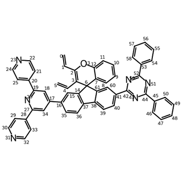 C=CC1=C(C=C)C2(c3ccccc3O1)c1cc(-c3cc(-c4ccncc4)nc(-c4ccncc4)c3)ccc1-c1ccc(-c3nc(-c4ccccc4)nc(-c4ccccc4)n3)cc12